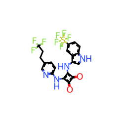 O=c1c(Nc2ccc(CCC(F)(F)F)cn2)c(Nc2c[nH]c3ccc(S(F)(F)(F)(F)F)cc23)c1=O